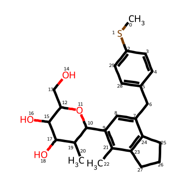 CSc1ccc(Cc2cc(C3OC(CO)C(O)C(O)C3C)c(C)c3c2CCC3)cc1